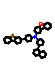 c1cc(-c2cccc3ccccc23)cc(N(c2ccc(-c3ccc4c(c3)sc3ccccc34)cc2)c2ccc3oc4ccccc4c3c2)c1